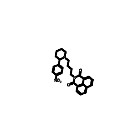 O=C1c2cccc3cccc(c23)C(=O)N1CCCCN1CCCCC1c1ccc([N+](=O)[O-])cc1